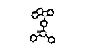 c1ccc(C2=NC(c3ccc(-n4c5ccccc5c5ccc6ccccc6c54)cc3)NC(c3ccccc3)=N2)cc1